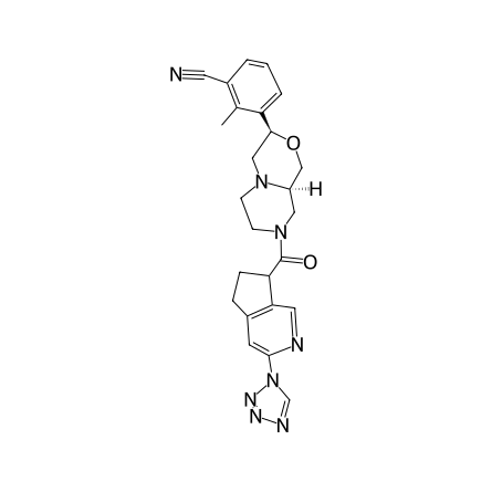 Cc1c(C#N)cccc1[C@@H]1CN2CCN(C(=O)C3CCc4cc(-n5cnnn5)ncc43)C[C@@H]2CO1